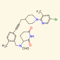 Cc1ccc(C#CCC2CCN(c3ncc(Br)cc3C(F)(F)F)CC2)cc1CN(C=O)C1CCC(=O)NC1=O